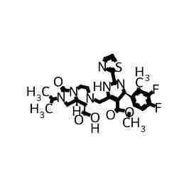 COC(=O)C1=C(CN2CCN3C(=O)N(C(C)C)C[C@H]3[C@@H]2C(=O)O)NC(c2nccs2)=N[C@H]1c1ccc(F)c(F)c1C